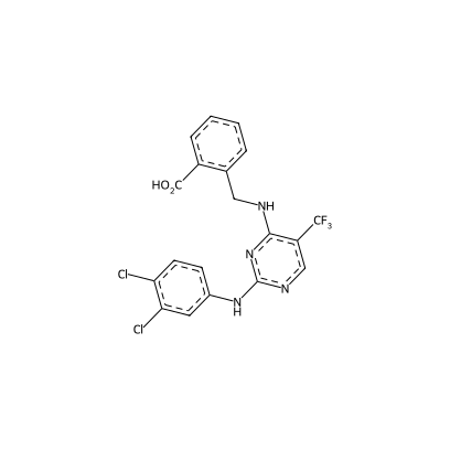 O=C(O)c1ccccc1CNc1nc(Nc2ccc(Cl)c(Cl)c2)ncc1C(F)(F)F